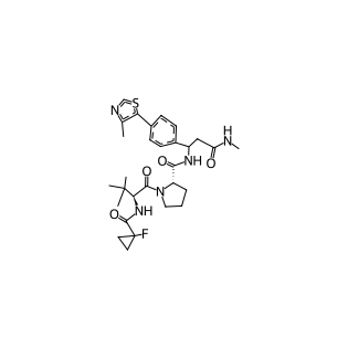 CNC(=O)CC(NC(=O)[C@@H]1CCCN1C(=O)[C@@H](NC(=O)C1(F)CC1)C(C)(C)C)c1ccc(-c2scnc2C)cc1